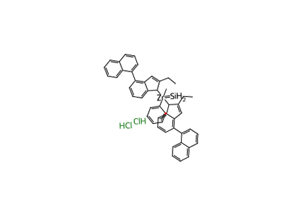 CCC1=Cc2c(-c3cccc4ccccc34)cccc2[CH]1[Zr]([CH3])(=[SiH2])([c]1ccccc1)[CH]1C(CC)=Cc2c(-c3cccc4ccccc34)cccc21.Cl.Cl